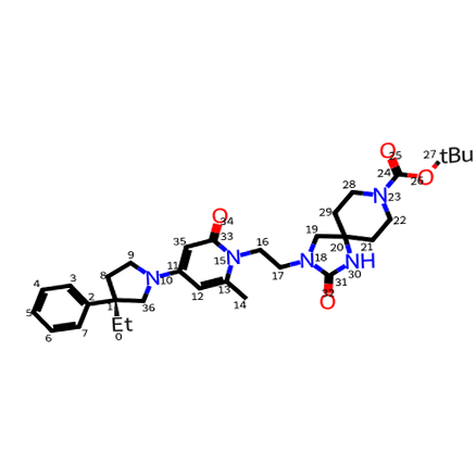 CC[C@@]1(c2ccccc2)CCN(c2cc(C)n(CCN3CC4(CCN(C(=O)OC(C)(C)C)CC4)NC3=O)c(=O)c2)C1